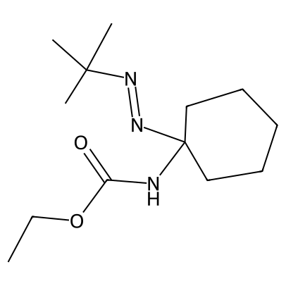 CCOC(=O)NC1(N=NC(C)(C)C)CCCCC1